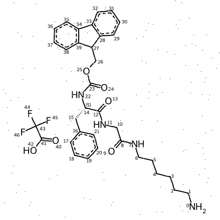 NCCCCCCNC(=O)CNC(=O)[C@H](Cc1ccccc1)NC(=O)OCC1c2ccccc2-c2ccccc21.O=C(O)C(F)(F)F